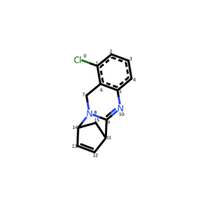 Clc1cccc2c1CN1C(=N2)C2C=CC1C2